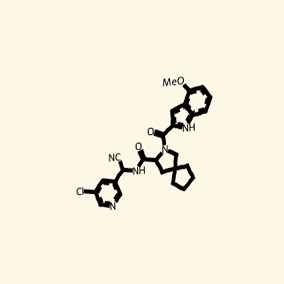 COc1cccc2[nH]c(C(=O)N3CC4(CCCC4)CC3C(=O)NC(C#N)c3cncc(Cl)c3)cc12